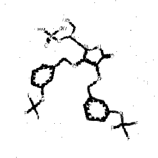 O=C1O[C@H]([C@H](CO)OP(=O)(O)O)C(OCc2cccc(OC(F)(F)F)c2)=C1OCc1cccc(OC(F)(F)F)c1